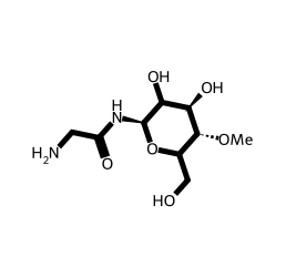 CO[C@@H]1C(CO)O[C@@H](NC(=O)CN)C(O)[C@H]1O